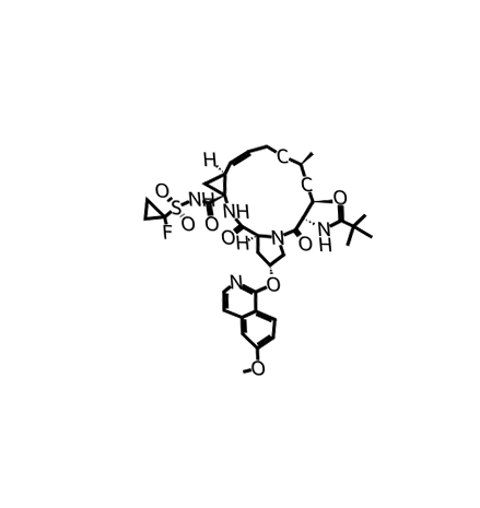 COc1ccc2c(O[C@@H]3C[C@H]4C(=O)N[C@]5(C(=O)NS(=O)(=O)C6(F)CC6)C[C@H]5/C=C\CC[C@@H](C)C[C@@H](C)[C@H](NC(=O)C(C)(C)C)C(=O)N4C3)nccc2c1